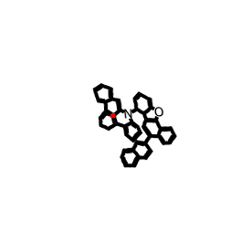 C1=CCCC(c2ccccc2N(c2ccc3ccccc3c2)C2C=CC=C3Oc4c(cc(-c5ccc6ccccc6c5)c5ccccc45)C32)=C1